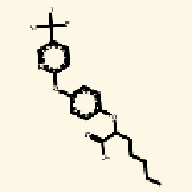 CCCCCC(Oc1ccc(Oc2ccc(C(Cl)(Cl)Cl)cn2)cc1)C(=O)O